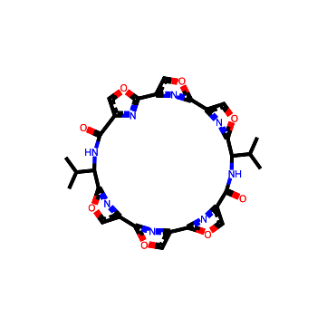 CC(C)C1NC(=O)c2coc(n2)-c2coc(n2)-c2coc(n2)C(C(C)C)NC(=O)c2coc(n2)-c2coc(n2)-c2coc1n2